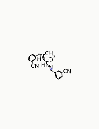 CN(Cc1cccc(C#N)c1)NC(=O)N/N=C/c1cccc(C#N)c1